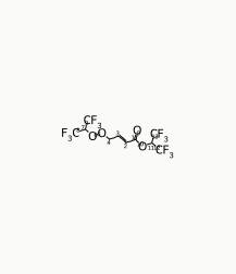 O=C(/C=C/COOC(C(F)(F)F)C(F)(F)F)OC(C(F)(F)F)C(F)(F)F